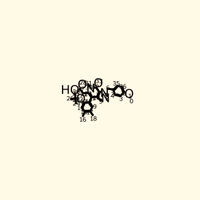 COc1ccc(Cn2ncc3c(-c4ccc(C)c(C)c4)c(C(OC(C)(C)C)C(=O)O)n(C)c(=O)c32)cc1